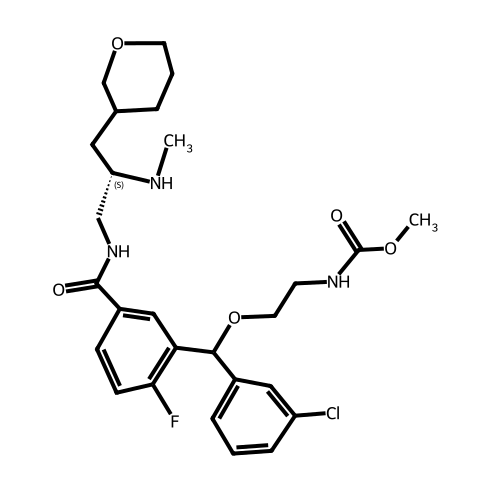 CN[C@H](CNC(=O)c1ccc(F)c(C(OCCNC(=O)OC)c2cccc(Cl)c2)c1)CC1CCCOC1